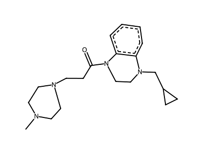 CN1CCN(CCC(=O)N2CCN(CC3CC3)c3ccccc32)CC1